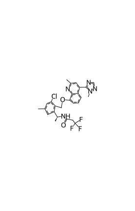 Cc1cc(Cl)c(COc2cccc3c(-c4ncnn4C)cc(C)nc23)c([C@H](C)NC(=O)CC(F)(F)F)c1